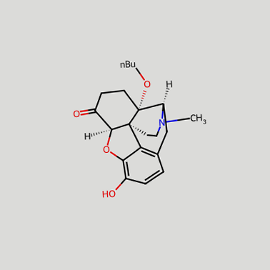 CCCCO[C@@]12CCC(=O)[C@@H]3Oc4c(O)ccc5c4[C@@]31CCN(C)[C@@H]2C5